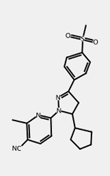 Cc1nc(N2N=C(c3ccc(S(C)(=O)=O)cc3)CC2C2CCCC2)ccc1C#N